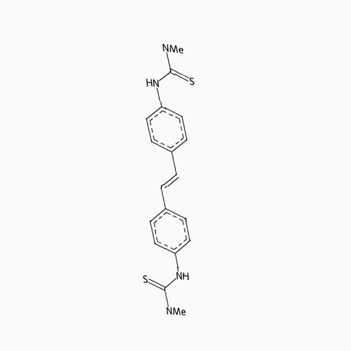 CNC(=S)Nc1ccc(C=Cc2ccc(NC(=S)NC)cc2)cc1